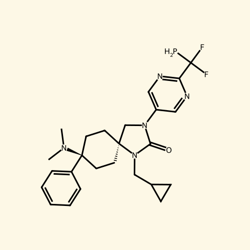 CN(C)[C@]1(c2ccccc2)CC[C@]2(CC1)CN(c1cnc(C(F)(F)P)nc1)C(=O)N2CC1CC1